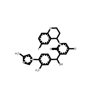 Cc1cn(-c2ccc(C(O)c3cc(Cl)cn(C4CCOc5ccc(F)cc54)c3=O)cc2C)cn1